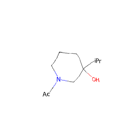 CC(=O)N1CCCC(O)(C(C)C)C1